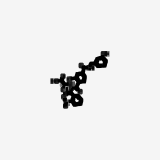 C[C@H](NN(C(=O)c1ccc(C(=O)NCc2cccc(O)c2)cc1Cl)C(=O)c1ccccc1[N+](=O)[O-])C(=O)O